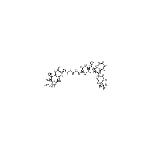 Cc1cc2c(cc1OCCCCCN1CCN(C(=O)c3nc(-c4ccc(C(F)(F)F)cc4)n4ccccc34)CC1)N=C[C@@H]1CCCN1C2=O